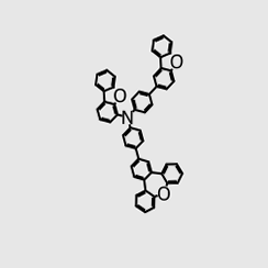 c1ccc2c(c1)Oc1ccccc1-c1cc(-c3ccc(N(c4ccc(-c5ccc6oc7ccccc7c6c5)cc4)c4cccc5c4oc4ccccc45)cc3)ccc1-2